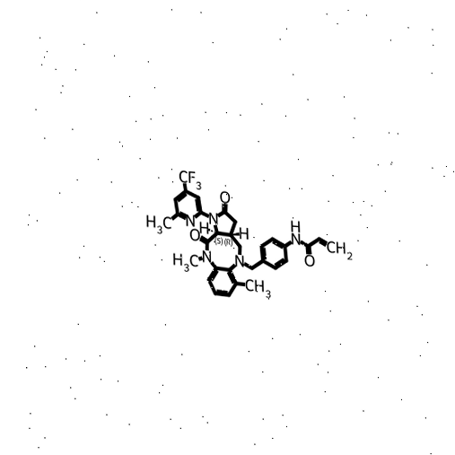 C=CC(=O)Nc1ccc(CN2C[C@H]3CC(=O)N(c4cc(C(F)(F)F)cc(C)n4)[C@@H]3C(=O)N(C)c3cccc(C)c32)cc1